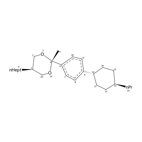 CCCCCCC[C@H]1CO[C@](C)(c2ccc([C@H]3CC[C@H](CCC)CC3)cc2)OC1